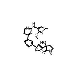 COc1nn(C)cc1Nc1nccc(-c2cccc(-c3cc(C4(O)CCN(C)C4=O)on3)c2)n1